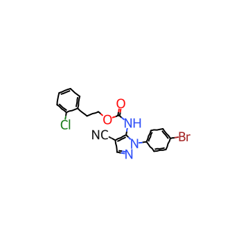 N#Cc1cnn(-c2ccc(Br)cc2)c1NC(=O)OCCc1ccccc1Cl